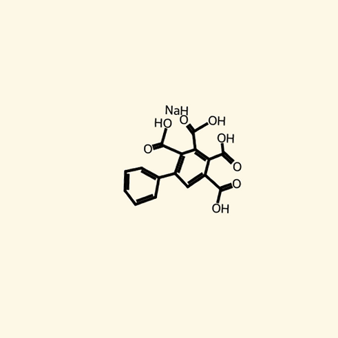 O=C(O)c1cc(-c2ccccc2)c(C(=O)O)c(C(=O)O)c1C(=O)O.[NaH]